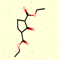 CCOC(=O)C1CCC(C(=O)OCC)C1=O